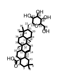 CC1(C)CC[C@]2(C(=O)O)CC[C@]3(C)C(=CCC4[C@@]5(C)CC[C@H](C[C@H]6OC(CO)[C@H](O)C(O)C6O)C(C)(C)C5CC[C@]43C)C2C1